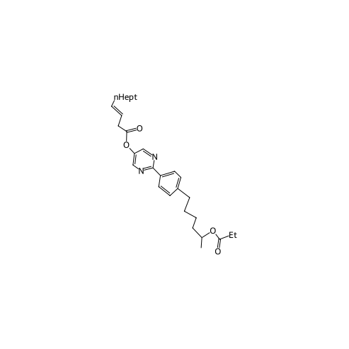 CCCCCCCC=CCC(=O)Oc1cnc(-c2ccc(CCCCC(C)OC(=O)CC)cc2)nc1